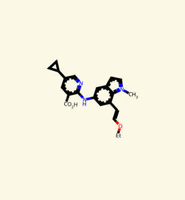 CCO/C=C/c1cc(Nc2ncc(C3CC3)cc2C(=O)O)cc2ccn(C)c12